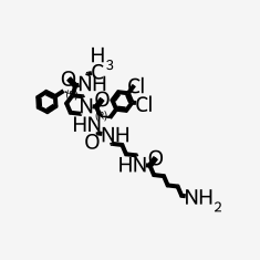 CCNC(=O)[C@]1(Cc2ccccc2)CCCN(C(=O)[C@@H](Cc2ccc(Cl)c(Cl)c2)NC(=O)NCCCCNC(=O)CCCCCN)C1